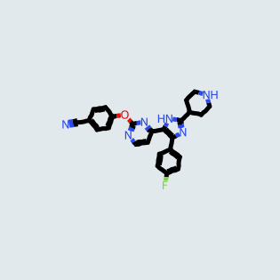 N#Cc1ccc(Oc2nccc(-c3[nH]c(C4CCNCC4)nc3-c3ccc(F)cc3)n2)cc1